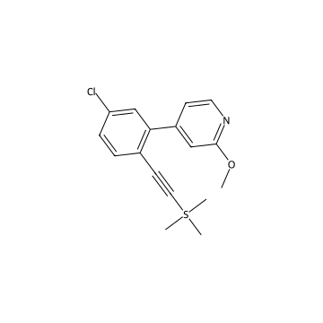 COc1cc(-c2cc(Cl)ccc2C#CS(C)(C)C)ccn1